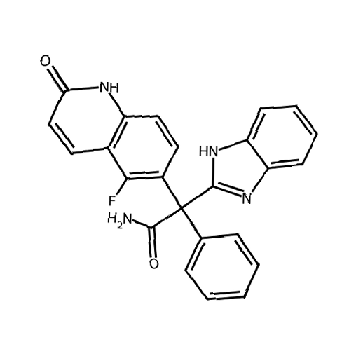 NC(=O)C(c1ccccc1)(c1nc2ccccc2[nH]1)c1ccc2[nH]c(=O)ccc2c1F